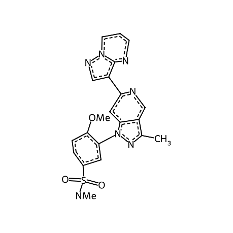 CNS(=O)(=O)c1ccc(OC)c(-n2nc(C)c3cnc(-c4cnn5cccnc45)cc32)c1